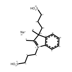 CC1=[N+](CCCS(=O)(=O)O)c2ccccc2C1(C)CCCS(=O)(=O)O.[Na+]